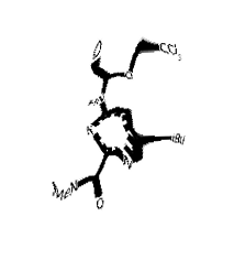 CNC(=O)c1nc(NC(=O)OCC(Cl)(Cl)Cl)cc(C(C)(C)C)n1